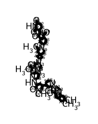 Cc1c(-c2cc(Nc3ccc(N4CCN(C5CC6(CCN(c7ccc8c(c7)C(=O)N(C7CCC(=O)NC7=O)C8=O)C(C)C6)C5)C[C@@H]4C(C)(C)C)cn3)c(=O)n(C)c2)ccnc1N1CCn2c(cc3c2CC(C)(C)C3)C1=O